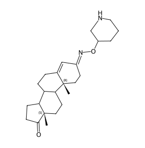 C[C@]12CCC(=NOC3CCCNC3)C=C1CCC1C2CC[C@]2(C)C(=O)CCC12